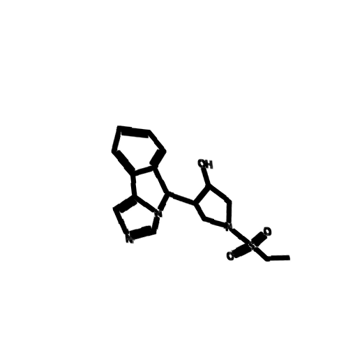 CCS(=O)(=O)N1CC(O)C(C2c3ccccc3-c3cncn32)C1